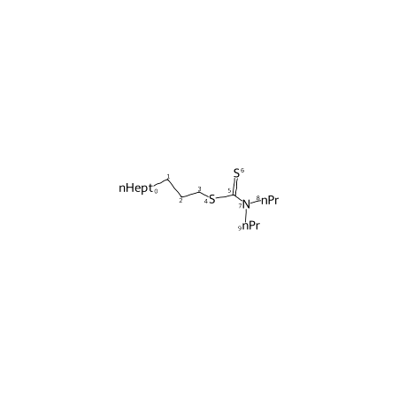 CCCCCCCCCCSC(=S)N(CCC)CCC